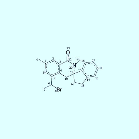 Cc1cc2c(c(C(C)Br)c1)CC1(CCc3ccccc31)N(C)C2=O